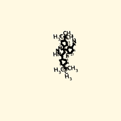 CC(C)(C)c1ccc(C2=CC(c3ccc(C(C)(C)C)cc3)(c3cc(C#N)ccc3F)N=NN2)cc1